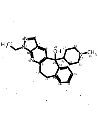 CCn1ncc2cc3c(nc21)CCc1ccccc1C3(O)C1CCN(C)CC1